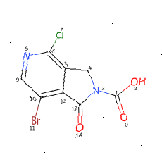 O=C(O)N1Cc2c(Cl)ncc(Br)c2C1=O